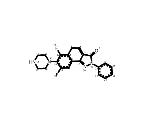 O=C1C2=CCc3c(cc(F)c(N4CCNCC4)c3F)C2=NN1c1ccccc1